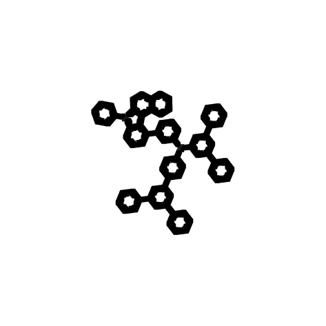 c1ccc(-c2cc(-c3ccccc3)cc(-c3ccc(N(c4cc(-c5ccccc5)cc(-c5ccccc5)c4)c4cccc(-c5cccc6c5c5c7ccccc7ccc5n6-c5ccccc5)c4)cc3)c2)cc1